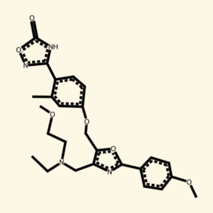 CCN(CCOC)Cc1nc(-c2ccc(OC)cc2)oc1COc1ccc(-c2noc(=O)[nH]2)c(C)c1